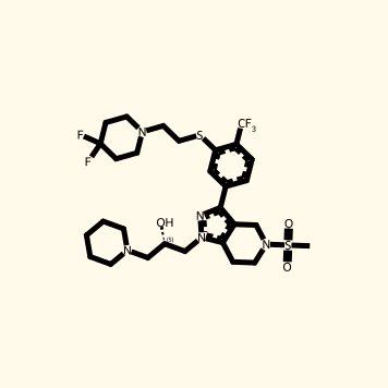 CS(=O)(=O)N1CCc2c(c(-c3ccc(C(F)(F)F)c(SCCN4CCC(F)(F)CC4)c3)nn2C[C@@H](O)CN2CCCCC2)C1